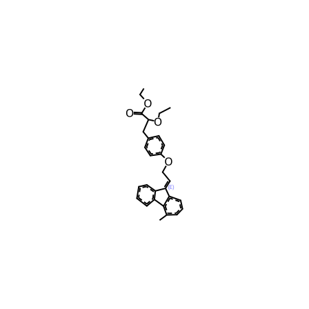 CCOC(=O)C(Cc1ccc(OC/C=C2\c3ccccc3-c3c(C)cccc32)cc1)OCC